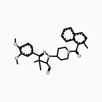 COc1ccc(C2=NN(C3CCN(C(=O)c4c(C)ccc5ccccc45)CC3)C(C=O)C2(C)C)cc1OC